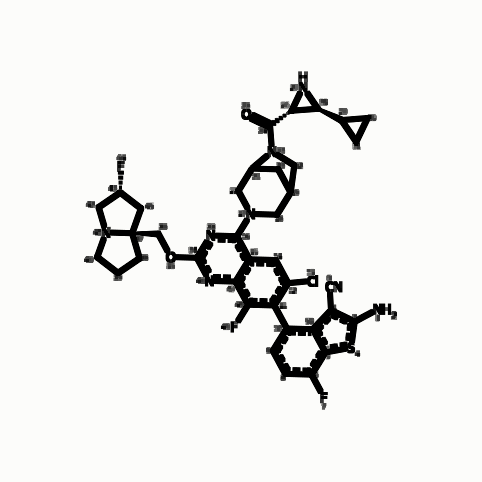 N#Cc1c(N)sc2c(F)ccc(-c3c(Cl)cc4c(N5CC6CC(C5)N(C(=O)[C@@H]5N[C@H]5C5CC5)C6)nc(OC[C@@]56CCCN5C[C@H](F)C6)nc4c3F)c12